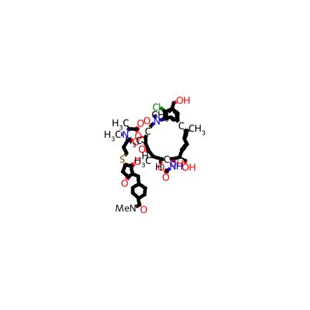 CNC(=O)C1CCC(CC2C(=O)CC(SCCC(=O)N(C)[C@H](C)C(=O)O[C@H]3CC(=O)N(C)c4cc(cc(CO)c4Cl)C/C(C)=C/C=C/[C@@H](CO)[C@@]4(O)C[C@H](OC(=O)N4)[C@@H](C)[C@@H]4O[C@@]34C)C2=O)CC1